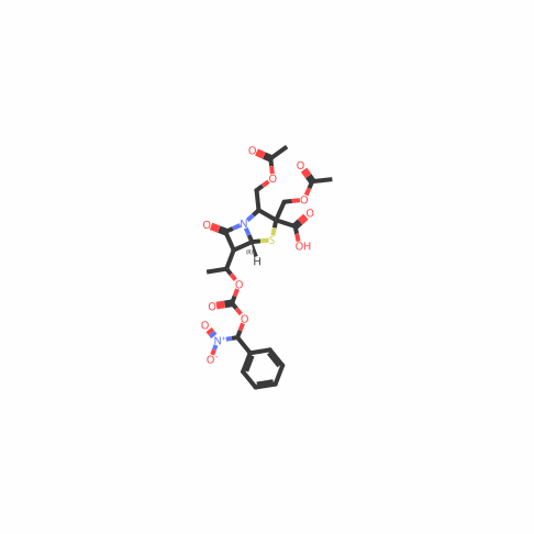 CC(=O)OCC1N2C(=O)C(C(C)OC(=O)OC(c3ccccc3)[N+](=O)[O-])[C@H]2SC1(COC(C)=O)C(=O)O